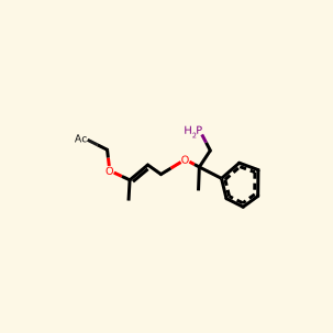 CC(=O)CO/C(C)=C/COC(C)(CP)c1ccccc1